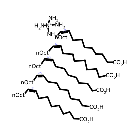 CCCCCCCC/C=C\CCCCCCCC(=O)O.CCCCCCCC/C=C\CCCCCCCC(=O)O.CCCCCCCC/C=C\CCCCCCCC(=O)O.CCCCCCCC/C=C\CCCCCCCC(=O)O.CCCCCCCC/C=C\CCCCCCCC(=O)O.N[N+](N)(N)N